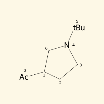 CC(=O)C1CCN(C(C)(C)C)C1